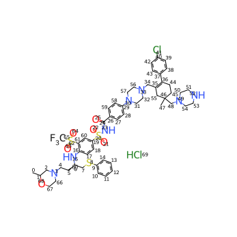 CC1CN(CC[C@H](CSc2ccccc2)Nc2ccc(S(=O)(=O)NC(=O)c3ccc(N4CCN(CC5=C(c6ccc(Cl)cc6)CCC(C)(CN6CCNCC6)C5)CC4)cc3)cc2S(=O)(=O)C(F)(F)F)CCO1.Cl